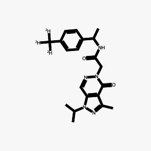 [2H]C([2H])([2H])c1ccc(C(C)NC(=O)Cn2ncc3c(c(C)nn3C(C)C)c2=O)cc1